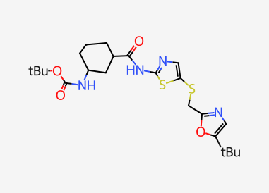 CC(C)(C)OC(=O)NC1CCCC(C(=O)Nc2ncc(SCc3ncc(C(C)(C)C)o3)s2)C1